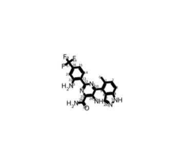 Cc1ccc2[nH]ncc2c1-c1nc(-c2ccc(C(F)(F)F)cc2N)nc(C(N)=O)c1N